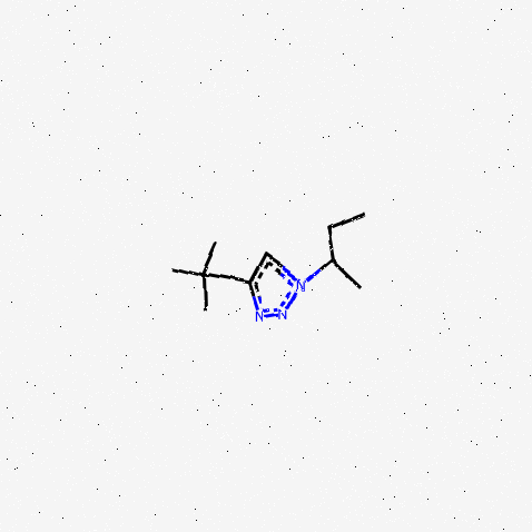 CCC(C)n1cc(C(C)(C)C)nn1